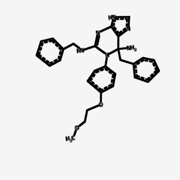 COCCOc1ccc(N2C(NCc3ccccc3)=Nc3[nH]cnc3C2(N)Cc2ccccc2)cc1